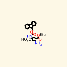 CC(C)(C)OC(=O)CCC(CCN)(NC(=O)OCC1c2ccccc2-c2ccccc21)C(=O)O